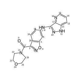 O=C(c1noc2cc(Nc3n[nH]c4cccnc34)ccc12)N1CCOCC1